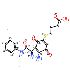 O=C(O)CCCSC1=CC(=O)c2[nH]nc(C(=O)Nc3ccccc3)c2C1=O